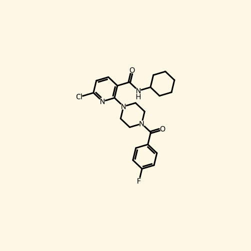 O=C(NC1CCCCC1)c1ccc(Cl)nc1N1CCN(C(=O)c2ccc(F)cc2)CC1